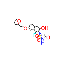 O=C1CN(c2c(O)cc3ccc(OCCC4CCCO4)cc3c2F)S(=O)(=O)N1